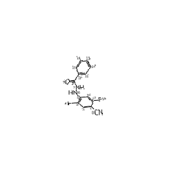 N#Cc1cc(F)c(NNC(=O)c2ccccc2)cc1F